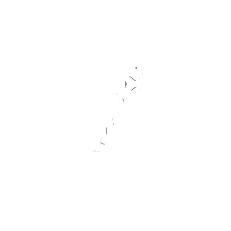 CBOCC(C)(C)OC(=O)CCCCCCCCC(=O)Oc1c(C)c(C)c2c(c1C)CCC(C)(C)O2